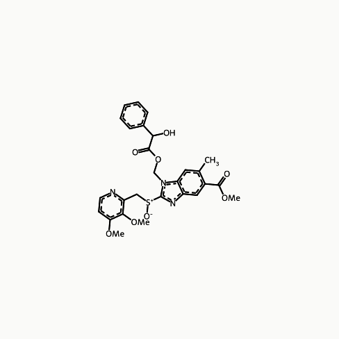 COC(=O)c1cc2nc([S+]([O-])Cc3nccc(OC)c3OC)n(COC(=O)C(O)c3ccccc3)c2cc1C